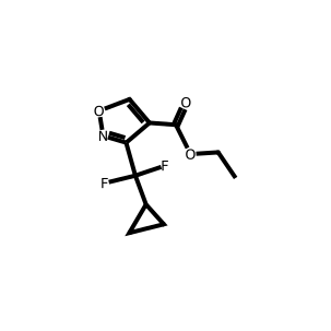 CCOC(=O)c1conc1C(F)(F)C1CC1